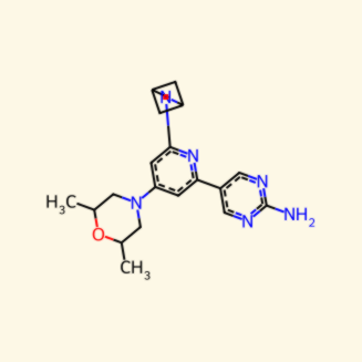 CC1CN(c2cc(-c3cnc(N)nc3)nc(N3CC4CC3C4)c2)CC(C)O1